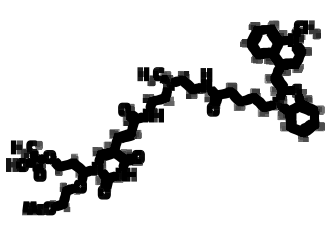 COCCOC(CCOP(C)(=O)O)n1cc(/C=C/C(=O)NCCN(C)CCNC(=O)CCCCN2/C(=C/c3cc[n+](C)c4ccccc34)Sc3ccccc32)c(=O)[nH]c1=O